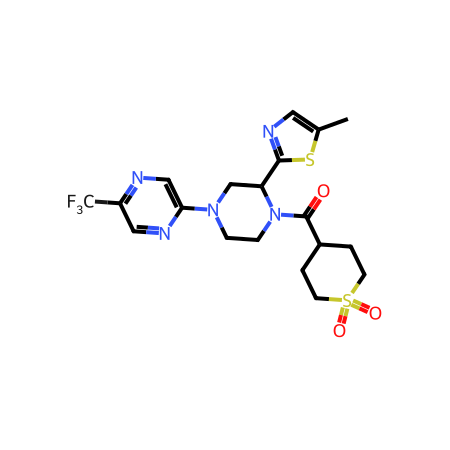 Cc1cnc(C2CN(c3cnc(C(F)(F)F)cn3)CCN2C(=O)C2CCS(=O)(=O)CC2)s1